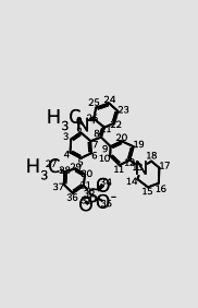 C[n+]1c2ccccc2c(-c2ccc(N3CCCCC3)cc2)c2ccccc21.Cc1ccc(S(=O)(=O)[O-])cc1